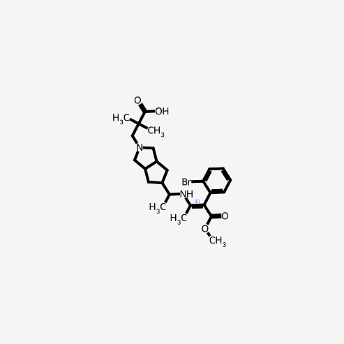 COC(=O)/C(=C(\C)NC(C)C1CC2CN(CC(C)(C)C(=O)O)CC2C1)c1ccccc1Br